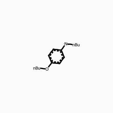 CCCC[N]c1ccc(OCCCC)cc1